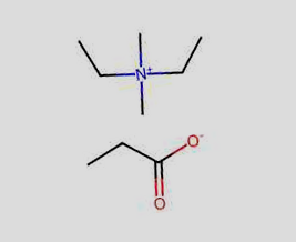 CCC(=O)[O-].CC[N+](C)(C)CC